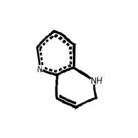 C1=Cc2ncccc2NC1